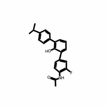 CC(=O)Nc1ccc(-c2cccc(-c3ccc(C(C)C)cc3)c2O)cc1F